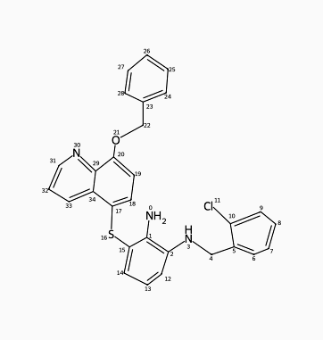 Nc1c(NCc2ccccc2Cl)cccc1Sc1ccc(OCc2ccccc2)c2ncccc12